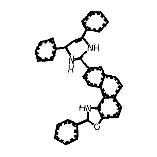 C1=C(c2ccccc2)NC(c2ccc3c(ccc4ccc5c(c43)NC(c3ccccc3)O5)c2)NC1c1ccccc1